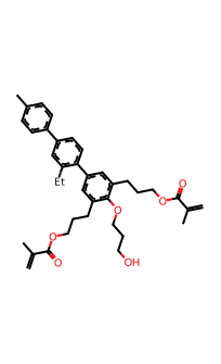 C=C(C)C(=O)OCCCc1cc(-c2ccc(-c3ccc(C)cc3)cc2CC)cc(CCCOC(=O)C(=C)C)c1OCCCO